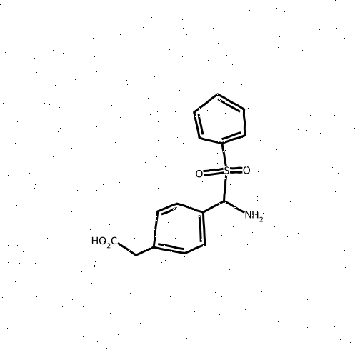 NC(c1ccc(CC(=O)O)cc1)S(=O)(=O)c1ccccc1